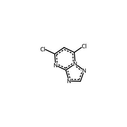 Clc1cc(Cl)n2ncnc2n1